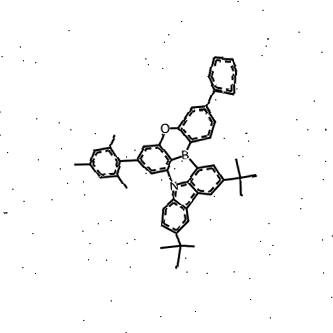 Cc1cc(C)c(-c2cc3c4c(c2)-n2c5ccc(C(C)(C)C)cc5c5cc(C(C)(C)C)cc(c52)B4c2ccc(-c4ccccc4)cc2O3)c(C)c1